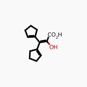 O=C(O)C(O)=C(C1=CCCC1)C1=CCCC1